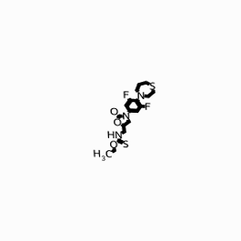 CCOC(=S)NCC1CN(c2cc(F)c(N3CCCSCC3)c(F)c2)C(=O)O1